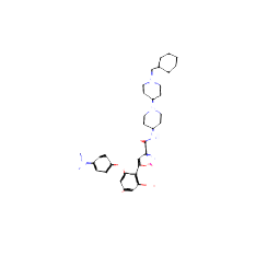 CN(C)c1ccc(Oc2cc(O)cc(O)c2-c2cc(C(=O)NC3CCN(C4CCN(CC5CCCCC5)CC4)CC3)no2)cc1